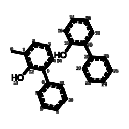 Cc1cccc(-c2ccccc2)c1O.Oc1ccccc1-c1ccccc1